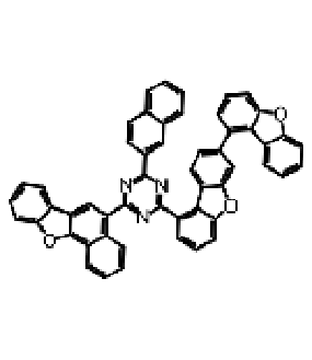 c1ccc2cc(-c3nc(-c4cc5c6ccccc6oc5c5ccccc45)nc(-c4cccc5oc6cc(-c7cccc8oc9ccccc9c78)ccc6c45)n3)ccc2c1